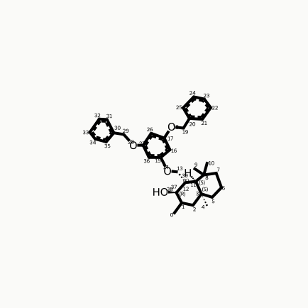 CC1C[C@]2(C)CCCC(C)(C)[C@@H]2[C@@H](COc2cc(OCc3ccccc3)cc(OCc3ccccc3)c2)[C@@H]1O